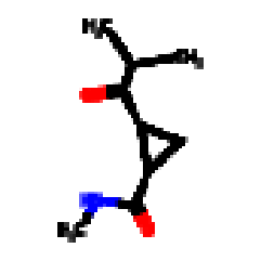 CNC(=O)[C@@H]1C[C@@H]1C(=O)C(C)C